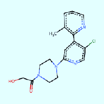 Cc1cccnc1-c1cc(N2CCN(C(=O)CO)CC2)ncc1Cl